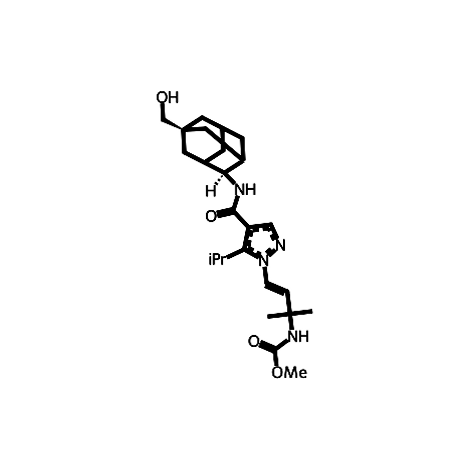 COC(=O)NC(C)(C)/C=C/n1ncc(C(=O)N[C@H]2C3CC4CC2C[C@@](CO)(C4)C3)c1C(C)C